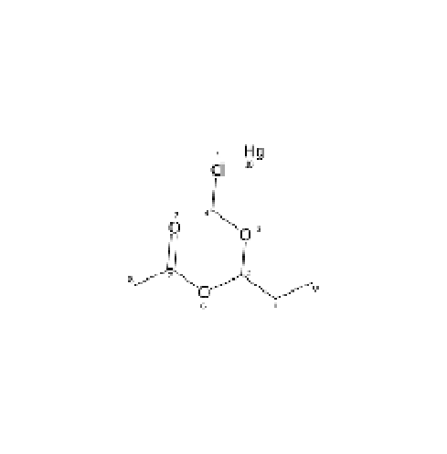 CCC(OCCl)OC(C)=O.[Hg]